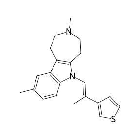 C/C(=C\n1c2c(c3cc(C)ccc31)CCN(C)CC2)c1ccsc1